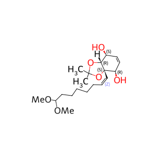 COC(CCCCC/C=C\[C@@]12OC(C)(C)O[C@@H]1[C@@H](O)C=C[C@H]2O)OC